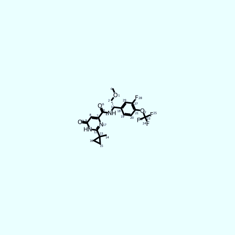 COC[C@@H](NC(=O)c1cc(=O)[nH]c(C2(C)CC2)n1)c1ccc(OC(F)(F)F)c(F)c1